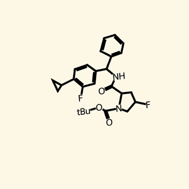 CC(C)(C)OC(=O)N1CC(F)CC1C(=O)NC(c1ccccc1)c1ccc(C2CC2)c(F)c1